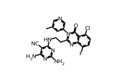 Cc1cncc(-n2c(CCNc3nc(N)nc(N)c3C#N)nc3c(F)ccc(Cl)c3c2=O)c1